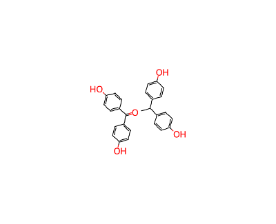 CC(c1ccc(O)cc1)c1ccc(O)cc1.O=C(c1ccc(O)cc1)c1ccc(O)cc1